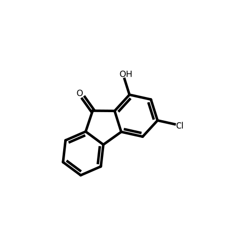 O=C1c2ccccc2-c2cc(Cl)cc(O)c21